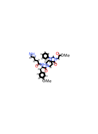 COC(=O)CN1CN(c2ccccc2)C2(CCN(C(=O)[C@@H](Cc3ccc(OC)cc3)NC(=O)CCCCN)CC2)C1=O